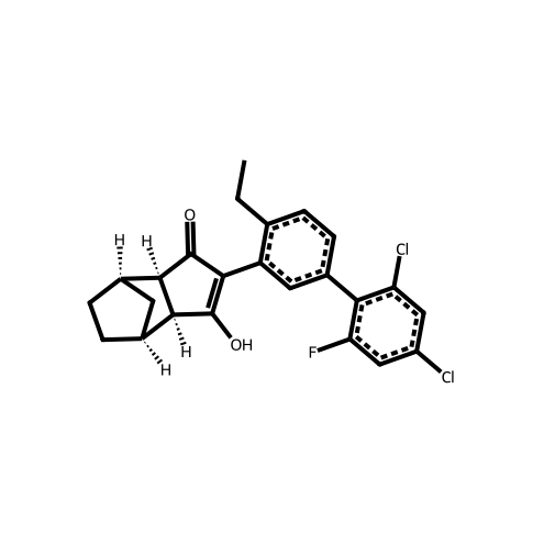 CCc1ccc(-c2c(F)cc(Cl)cc2Cl)cc1C1=C(O)[C@H]2[C@H]3CC[C@H](C3)[C@H]2C1=O